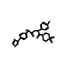 Cc1ccc(N(CC(=O)Nc2ccc(-c3cocn3)cc2)C(=O)N2CCS(=O)(=O)CC2)cc1